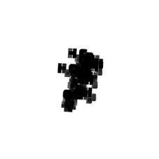 CC(=O)OC(C1C[C@@H](C)[C@H]2C(O1)[C@H](O)[C@@]1(C)C3CC[C@H]4C(C)(C)C(OC(=O)c5ccncc5)CCC45CC35CCC21C)C(C)(C)O